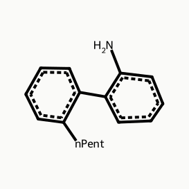 CCCCCc1ccccc1-c1ccccc1N